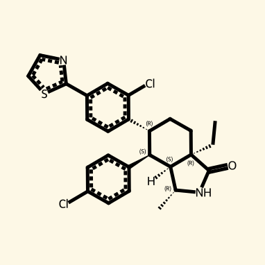 CC[C@@]12CC[C@@H](c3ccc(-c4nccs4)cc3Cl)[C@H](c3ccc(Cl)cc3)[C@@H]1[C@@H](C)NC2=O